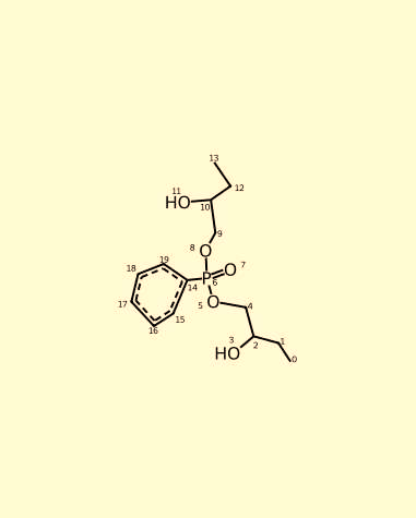 CCC(O)COP(=O)(OCC(O)CC)c1ccccc1